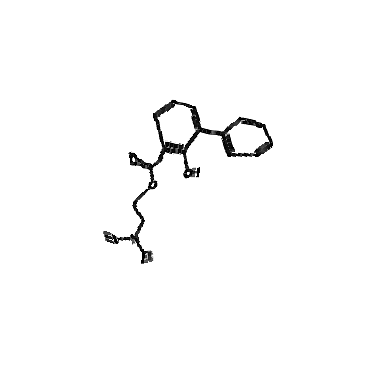 CCN(CC)CCOC(=O)c1cccc(-c2ccccc2)c1O